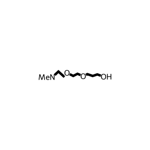 CNCCOCCOCCCO